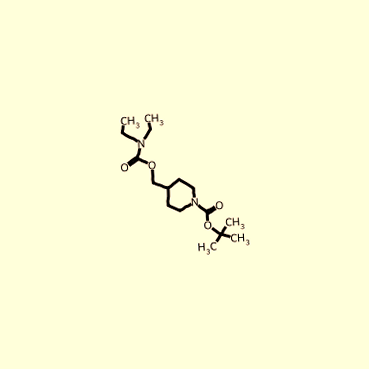 CCN(CC)C(=O)OCC1CCN(C(=O)OC(C)(C)C)CC1